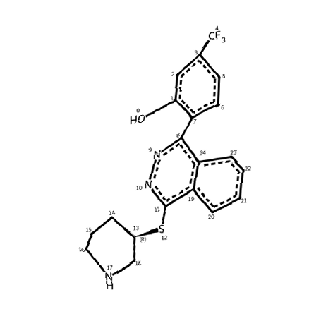 Oc1cc(C(F)(F)F)ccc1-c1nnc(S[C@@H]2CCCNC2)c2ccccc12